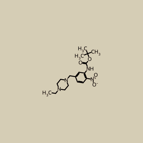 CCN1CCN(Cc2ccc([N+](=O)[O-])c(NC(=O)OC(C)(C)C)c2)CC1